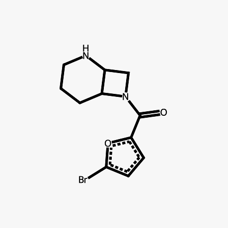 O=C(c1ccc(Br)o1)N1CC2NCCCC21